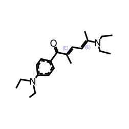 CCN(CC)/C(C)=C/C=C(\C)C(=O)c1ccc(N(CC)CC)cc1